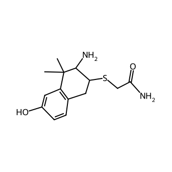 CC1(C)c2cc(O)ccc2CC(SCC(N)=O)C1N